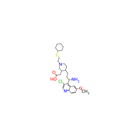 COc1ccc2ncc(Cl)c(C(N)CCC3CCN(CCSC4CCCCC4)CC3CC(=O)O)c2c1